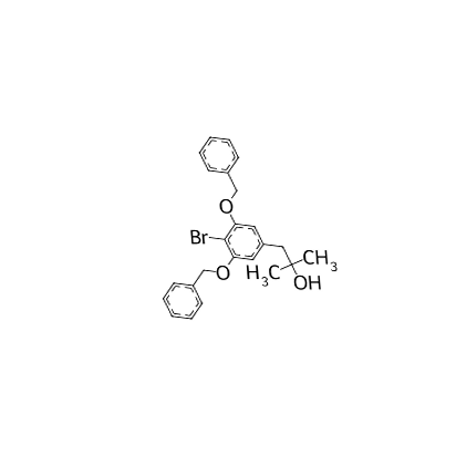 CC(C)(O)Cc1cc(OCc2ccccc2)c(Br)c(OCc2ccccc2)c1